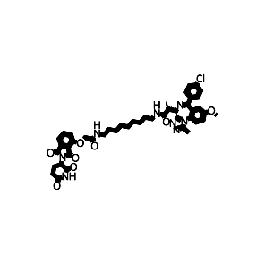 COc1ccc2c(c1)C(c1ccc(Cl)cc1)=N[C@@H]([C@@H](C)C(=O)NCCCCCCCCCNC(=O)COc1cccc3c1C(=O)N(C1CCC(=O)NC1=O)C3=O)c1nnc(C)n1-2